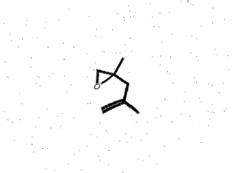 [CH2]C1(CC(=C)C)CO1